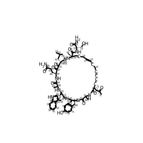 CC(=O)C[C@]1(C)CCCCCCC=CCCC[C@@](C)(C(=O)N[C@@H](CO)C(N)=O)NN[C@@H](CC(C)C)C(=O)C(=O)[C@H](CCC(N)=O)NC(=O)C(C)NC(=O)[C@@H](Cc2c[nH]c3ccccc23)NC(=O)[C@H](Cc2ccc(O)cc2)NC(=O)C(C)NC1=O